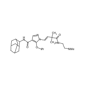 CNCCNC(=O)C(C)(C)/C=C/n1ncc(C(=O)NC2C3CC4CC(C3)CC2C4)c1OC(C)C